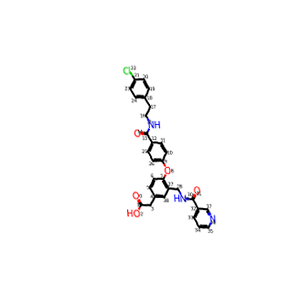 O=C(O)Cc1ccc(Oc2ccc(C(=O)NCCc3ccc(Cl)cc3)cc2)c(CNC(=O)c2cccnc2)c1